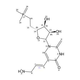 C=C1NC(=O)C(/C=C/CN)=CN1C1O[C@H](CCP(=C)(C)C)[C@@H](O)[C@H]1O